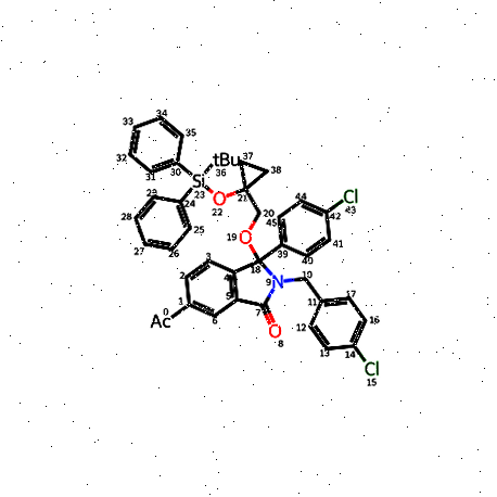 CC(=O)c1ccc2c(c1)C(=O)N(Cc1ccc(Cl)cc1)C2(OCC1(O[Si](c2ccccc2)(c2ccccc2)C(C)(C)C)CC1)c1ccc(Cl)cc1